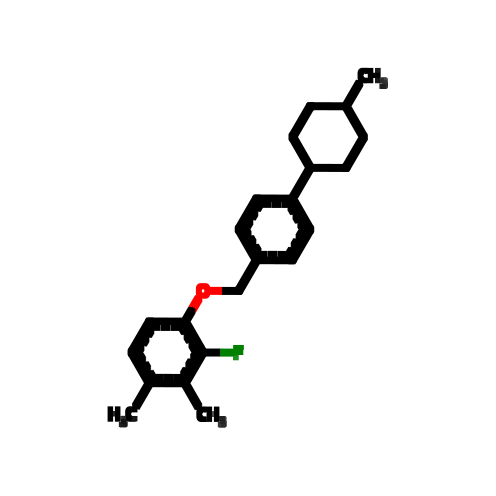 Cc1ccc(OCc2ccc(C3CCC(C)CC3)cc2)c(F)c1C